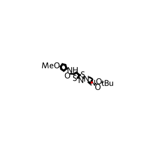 COc1ccc(NC(=O)c2cc3sc(N4CC5CC4CN5C(=O)OC(C)(C)C)nc3s2)cc1